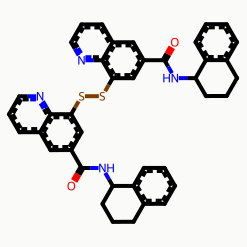 O=C(NC1CCCc2ccccc21)c1cc(SSc2cc(C(=O)NC3CCCc4ccccc43)cc3cccnc23)c2ncccc2c1